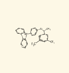 CC(Oc1ccc([SH]2c3ccccc3-c3ccccc32)cc1)c1cc(C(F)(F)F)cc(C(F)(F)F)c1